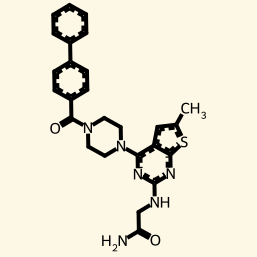 Cc1cc2c(N3CCN(C(=O)c4ccc(-c5ccccc5)cc4)CC3)nc(NCC(N)=O)nc2s1